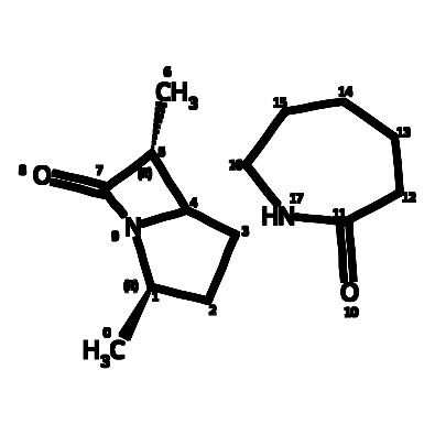 C[C@@H]1CCC2[C@@H](C)C(=O)N21.O=C1CCCCCN1